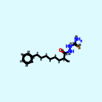 CC(CCCCCCc1ccccc1)C(=O)NNC(N)=S